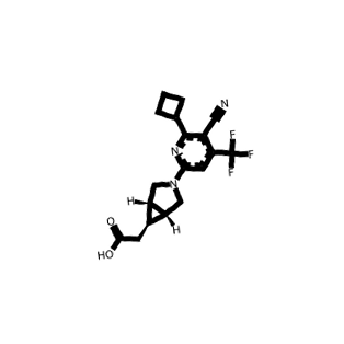 N#Cc1c(C(F)(F)F)cc(N2C[C@@H]3[C@@H](CC(=O)O)[C@@H]3C2)nc1C1CCC1